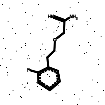 N=C(N)COCCc1ccccc1F